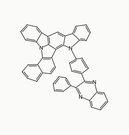 c1ccc(-c2nc3ccccc3nc2-c2ccc(-n3c4ccccc4c4cc5c6ccccc6n6c7c8ccccc8ccc7c(c43)c56)cc2)cc1